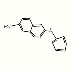 O=S(=O)(O)c1ccc2cc(Nc3ccccc3)ccc2c1